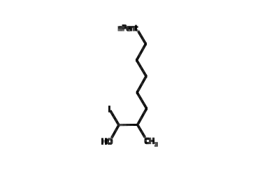 CCCCCCCCCCC(C)C(O)I